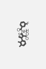 Cc1cccc(-c2csc(NC(=O)c3cccc(F)c3)c2C(=O)O)c1C